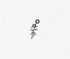 CCCS(=O)(=O)C(C)(C)C(=O)Nc1c(C)c(-c2ccccc2)nn1C